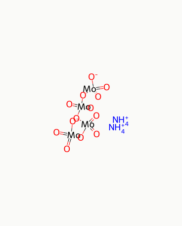 [NH4+].[NH4+].[O]=[Mo](=[O])([O-])[O][Mo](=[O])(=[O])[O][Mo](=[O])(=[O])[O][Mo](=[O])(=[O])[O-]